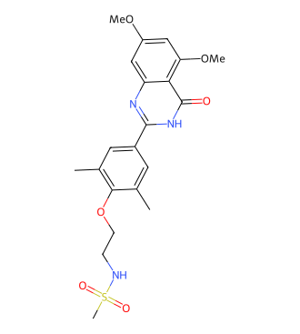 COc1cc(OC)c2c(=O)[nH]c(-c3cc(C)c(OCCNS(C)(=O)=O)c(C)c3)nc2c1